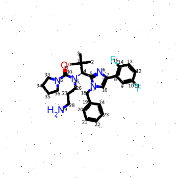 CC(C)(C)[C@H](c1nc(-c2cc(F)ccc2F)cn1Cc1ccccc1)N(CCCN)C(=O)N1CCCC1